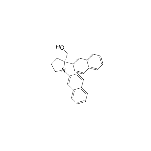 OC[C@@]1(c2ccc3ccccc3c2)CCCN1c1ccc2ccccc2c1